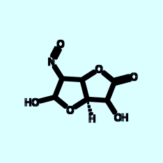 O=NC1C(O)O[C@@H]2C(O)C(=O)OC12